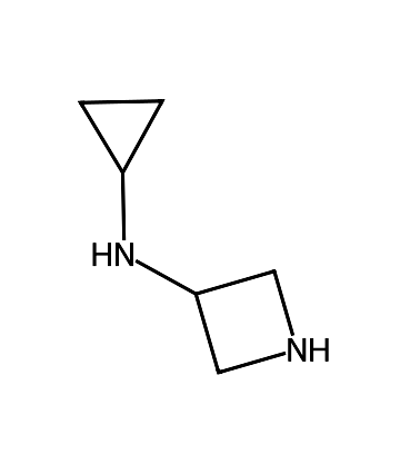 C1CC1NC1CNC1